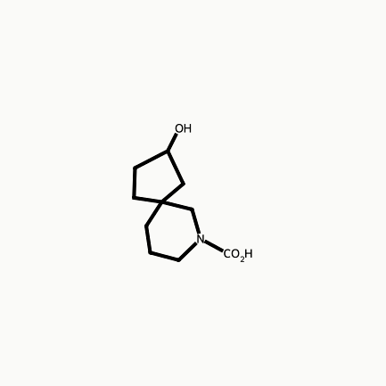 O=C(O)N1CCCC2(CCC(O)C2)C1